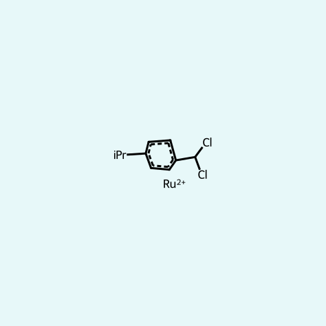 CC(C)c1ccc(C(Cl)Cl)cc1.[Ru+2]